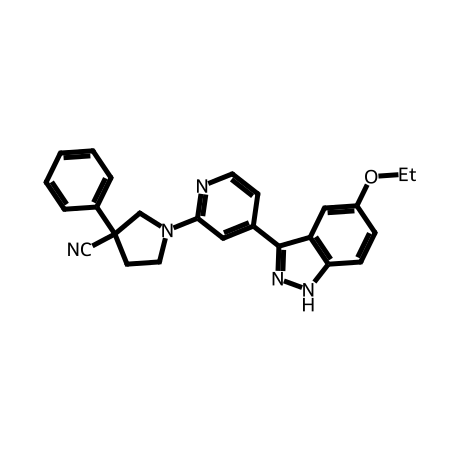 CCOc1ccc2[nH]nc(-c3ccnc(N4CCC(C#N)(c5ccccc5)C4)c3)c2c1